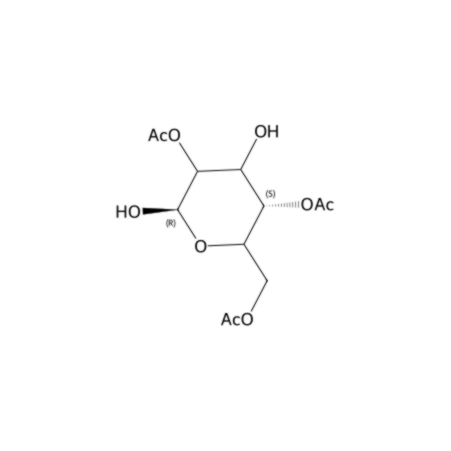 CC(=O)OCC1O[C@@H](O)C(OC(C)=O)C(O)[C@@H]1OC(C)=O